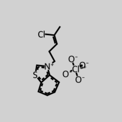 CC(Cl)=CCC[n+]1csc2ccccc21.[O-][Cl+3]([O-])([O-])[O-]